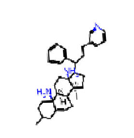 CC1CCC2(N)C(=CCC3[C@@H]2CCC2(N)C(C(CCc4cccnc4)c4ccccc4)CC[C@@H]32)C1